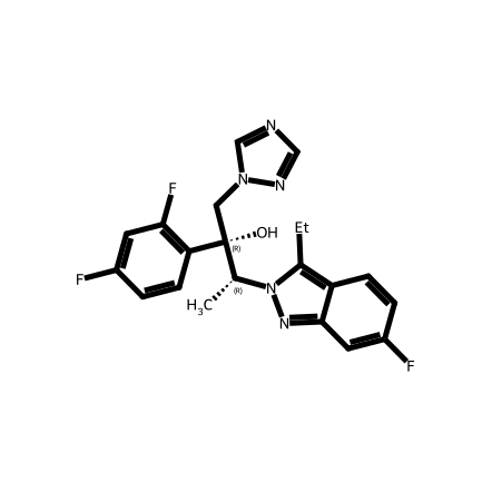 CCc1c2ccc(F)cc2nn1[C@H](C)[C@](O)(Cn1cncn1)c1ccc(F)cc1F